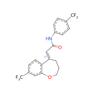 O=C(/C=C1\CCCOc2cc(C(F)(F)F)ccc21)Nc1ccc(C(F)(F)F)cc1